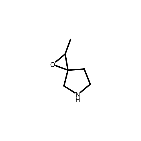 CC1OC12CCNC2